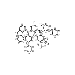 Cc1cc2c3c(c1)N(c1cccc4c1-c1ccccc1C4)c1ccc(-c4ccccc4)cc1B3c1cc3c(cc1N2c1cc(-c2ccccc2)ccc1C)C(C)(C)CC3(C)C